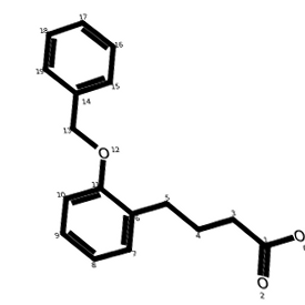 COC(=O)CCCc1ccccc1OCc1ccccc1